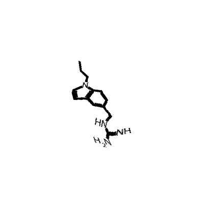 CCCn1ccc2cc(CNC(=N)N)ccc21